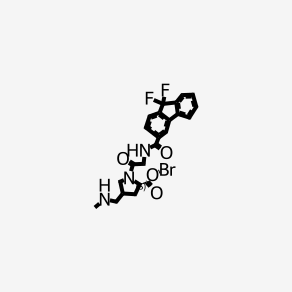 CNCC1C[C@@H](C(=O)OBr)N(C(=O)CNC(=O)c2ccc3c(c2)-c2ccccc2C3(F)F)C1